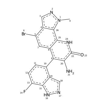 Cn1ncc2c(Br)cc3c(-c4ccc(F)c5[nH]ncc45)c(N)c(=O)[nH]c3c21